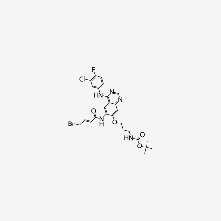 CC(C)(C)OC(=O)NCCCOc1cc2ncnc(Nc3ccc(F)c(Cl)c3)c2cc1NC(=O)C=CCBr